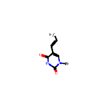 C/C=C/c1cn(C(C)C)c(=O)[nH]c1=O